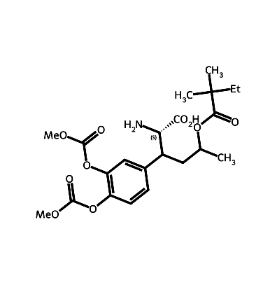 CCC(C)(C)C(=O)OC(C)CC(c1ccc(OC(=O)OC)c(OC(=O)OC)c1)[C@H](N)C(=O)O